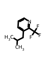 CC(C)Cc1cccnc1C(F)(F)F